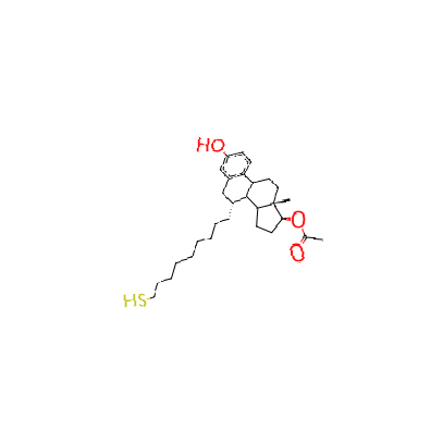 CC(=O)O[C@H]1CCC2C3C(CC[C@@]21C)c1ccc(O)cc1C[C@H]3CCCCCCCCCS